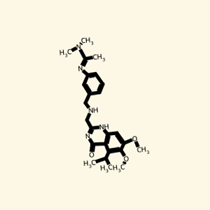 COc1cc2[nH]c(CNCc3cccc(/N=C(\C)N(C)C)c3)nc(=O)c2c(C(C)C)c1OC